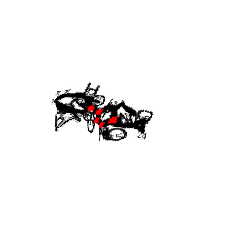 O=C1Cc2cc(S(=O)(=O)N3[C@@H]4CC[C@H]3C[C@H](NC(=O)c3cc(C5CC5)on3)C4)ccc2N1